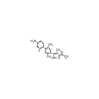 C/C(C(=O)NC1CC1)=C(/O)c1cc(C)c(-c2ccc(N)cc2F)cc1C